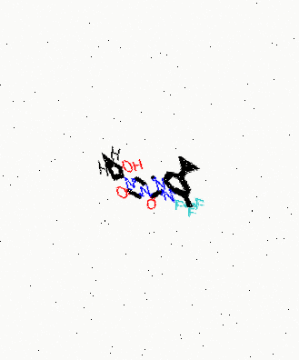 Cn1c(C(=O)N2CCN([C@@H]3C[C@@H]4C[C@H]4[C@@H]3O)C(=O)C2)nc2c(C(F)(F)F)cc(C3CC3)cc21